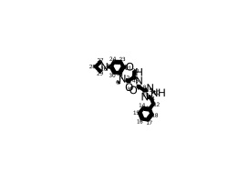 CN1C(=O)C(NC(=O)c2n[nH]c(Cc3ccccc3)n2)COc2ccc(N3CCC3)cc21